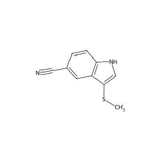 CSc1c[nH]c2ccc(C#N)cc12